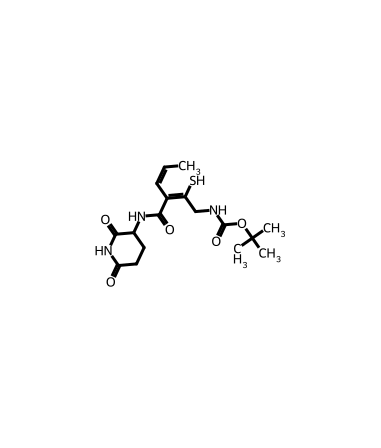 C/C=C\C(C(=O)NC1CCC(=O)NC1=O)=C(/S)CNC(=O)OC(C)(C)C